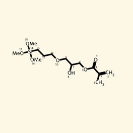 C=C(C)C(=O)OCC(O)COCCC[Si](OC)(OC)OC